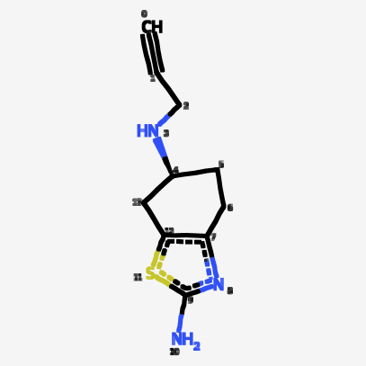 C#CCN[C@H]1CCc2nc(N)sc2C1